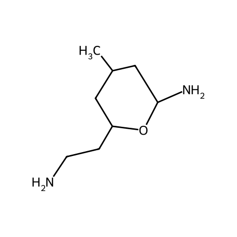 CC1CC(N)OC(CCN)C1